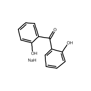 O=C(c1ccccc1O)c1ccccc1O.[NaH]